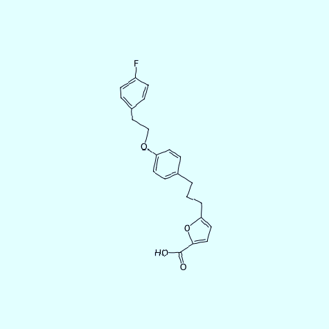 O=C(O)c1ccc(CCCc2ccc(OCCc3ccc(F)cc3)cc2)o1